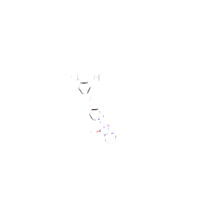 Cc1cc(COc2ccc(N3C(=O)C4CCCCN4C3=O)nc2)ccc1Cl